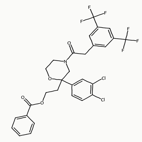 O=C(OCCC1(c2ccc(Cl)c(Cl)c2)CN(C(=O)Cc2cc(C(F)(F)F)cc(C(F)(F)F)c2)CCO1)c1ccccc1